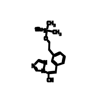 CC(C)(C)[Si](C)(C)OCCc1cccc(C=C(C#N)n2cncn2)c1